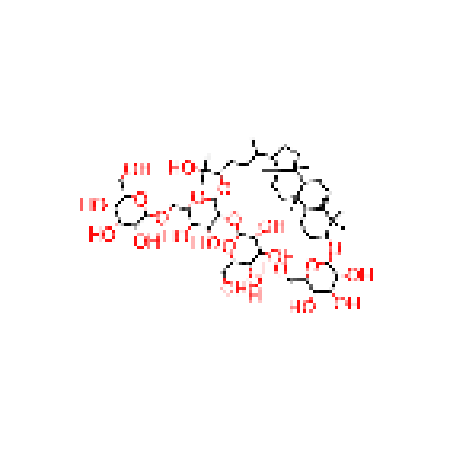 CC(CC[C@@H](O[C@@H]1O[C@H](CO[C@@H]2O[C@H](CO)[C@@H](O)[C@H](O)[C@H]2O)[C@@H](O)[C@H](O)[C@H]1O[C@@H]1O[C@H](CO)[C@@H](O)[C@H](O)[C@H]1O)C(C)(C)O)C1CCC2(C)C3CC=C4C(CC[C@H](O[C@@H]5O[C@H](CO)[C@@H](O)[C@H](O)[C@H]5O)C4(C)C)C3(C)CCC12C